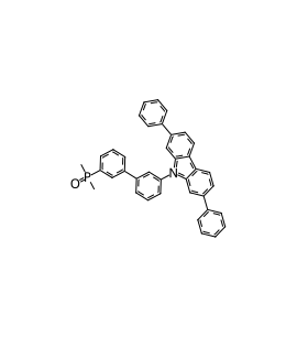 CP(C)(=O)c1cccc(-c2cccc(-n3c4cc(-c5ccccc5)ccc4c4ccc(-c5ccccc5)cc43)c2)c1